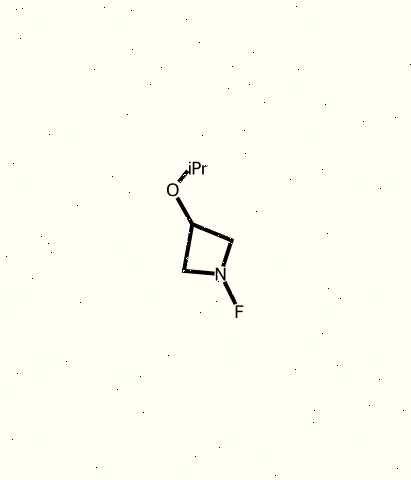 CC(C)OC1CN(F)C1